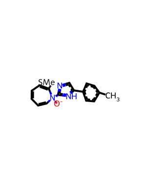 CSC1=CC=CC=C[N+]1([O-])c1ncc(-c2ccc(C)cc2)[nH]1